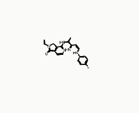 CCN1Cc2c(ccnc2NC(C)C(=N)/C=C\Nc2ccc(F)cc2)C1=O